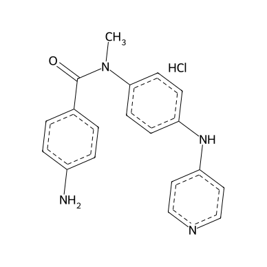 CN(C(=O)c1ccc(N)cc1)c1ccc(Nc2ccncc2)cc1.Cl